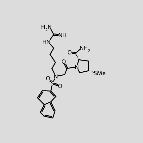 CS[C@H]1C[C@@H](C(N)=O)N(C(=O)CN(CCCCNC(=N)N)S(=O)(=O)c2ccc3ccccc3c2)C1